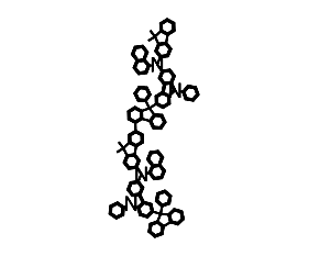 CC1(C)c2ccc(N(c3ccc4c(c3)c3cc(C5(c6ccccc6)c6ccccc6-c6ccccc65)ccc3n4-c3ccccc3)c3cccc4ccccc34)cc2-c2ccc(-c3cccc4c3-c3ccccc3C4(c3ccccc3)c3ccc4c(c3)c3cc(N(c5ccc6c(c5)C(C)(C)c5ccccc5-6)c5cccc6ccccc56)ccc3n4-c3ccccc3)cc21